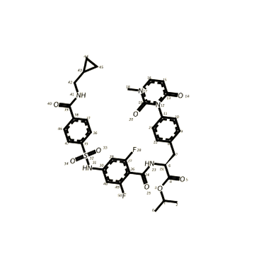 CC(C)OC(=O)[C@H](Cc1ccc(-n2c(=O)ccn(C)c2=O)cc1)NC(=O)c1c(F)cc(NS(=O)(=O)c2ccc(C(=O)NCC3CC3)cc2)cc1F